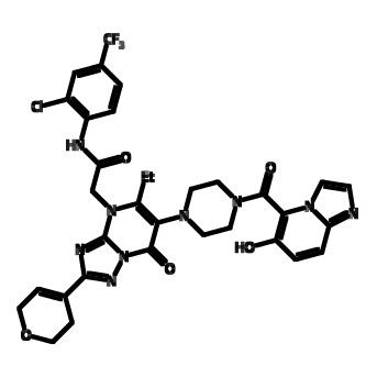 CCc1c(N2CCN(C(=O)c3c(O)ccc4nccn34)CC2)c(=O)n2nc(C3=CCOCC3)nc2n1CC(=O)Nc1ccc(C(F)(F)F)cc1Cl